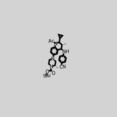 CC(=O)N1c2ccc(N3CCN(C(=O)OC(C)(C)C)[C@@H](C)C3)cc2C(Nc2ccc(C#N)cc2)[C@@H](C)C1C1CC1